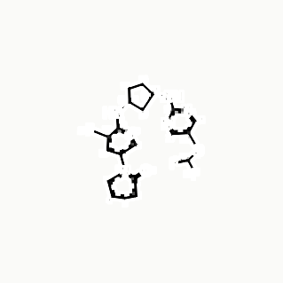 O=c1ccccn1-c1cnc(N[C@H]2CC[C@H](Nc3ncc(OC(F)F)cn3)C2)c(F)c1